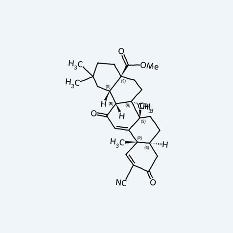 COC(=O)[C@]12CCC(C)(C)C[C@H]1[C@H]1C(=O)C=C3[C@@]4(C)C=C(C#N)C(=O)C[C@@H]4CC[C@@]3(C)[C@]1(C)CC2